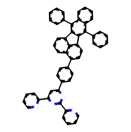 c1ccc(-c2c3c(c(-c4ccccc4)c4ccccc24)-c2ccc(-c4ccc(-c5cc(-c6ccccn6)nc(-c6ccccn6)n5)cc4)c4cccc-3c24)cc1